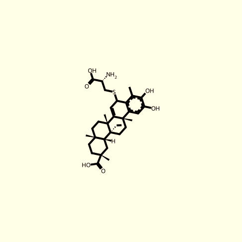 CC[C@@]12CC[C@]3(C)C(=CC(SC[C@@H](N)C(=O)O)c4c3cc(O)c(O)c4C)[C@@]1(C)CC[C@@]1(C)CC[C@@](C)(C(=O)O)C[C@H]12